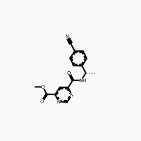 COC(=O)c1cc(C(=O)N[C@@H](C)c2ccc(C#N)cc2)ncn1